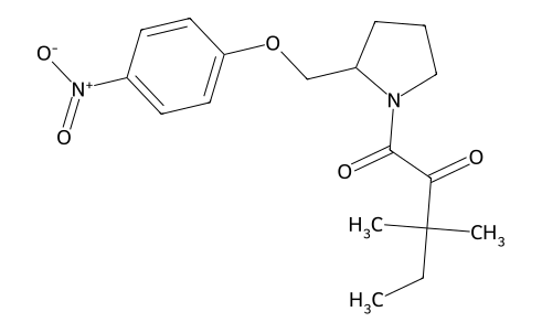 CCC(C)(C)C(=O)C(=O)N1CCCC1COc1ccc([N+](=O)[O-])cc1